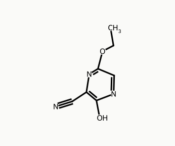 CCOc1cnc(O)c(C#N)n1